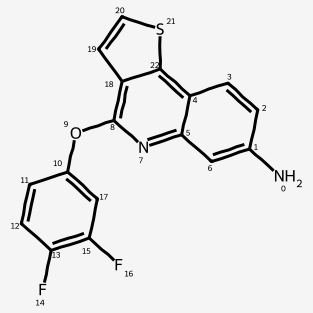 Nc1ccc2c(c1)nc(Oc1ccc(F)c(F)c1)c1ccsc12